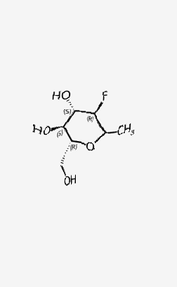 CC1O[C@H](CO)[C@@H](O)[C@H](O)[C@H]1F